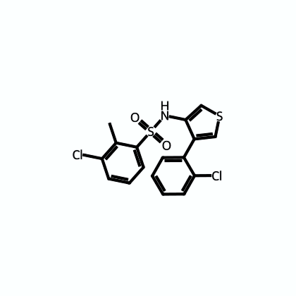 Cc1c(Cl)cccc1S(=O)(=O)Nc1cscc1-c1ccccc1Cl